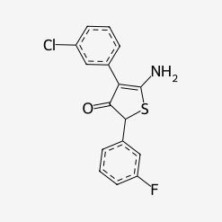 NC1=C(c2cccc(Cl)c2)C(=O)C(c2cccc(F)c2)S1